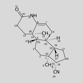 C[C@]12CC[C@H]3[C@@H](CC=C4NC(=O)CC[C@@]43C)[C@@H]1CC[C@@H]2C#N